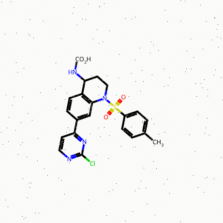 Cc1ccc(S(=O)(=O)N2CCC(NC(=O)O)c3ccc(-c4ccnc(Cl)n4)cc32)cc1